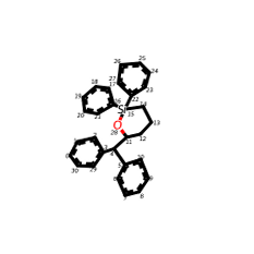 c1ccc(C(c2ccccc2)C2CCC[Si](c3ccccc3)(c3ccccc3)O2)cc1